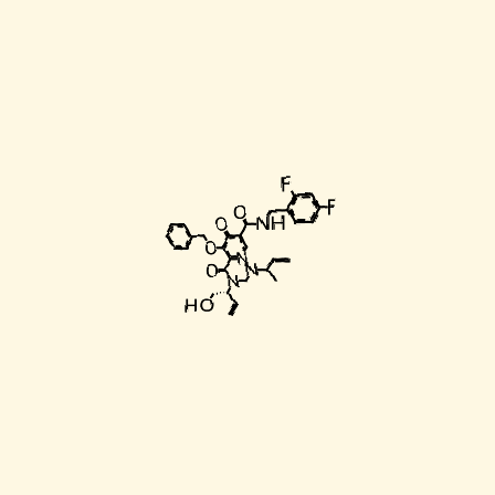 C=CC(C)N1CN([C@H](C=C)CO)C(=O)c2c(OCc3ccccc3)c(=O)c(C(=O)NCc3ccc(F)cc3F)cn21